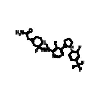 NC(=O)CN1CC[C@H](CNc2ncnc(N3CCC[C@@H]3c3ccc(C(F)(F)F)cc3F)c2F)C(F)(F)C1